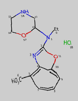 CCN(c1nc2c(C(=O)O)cccc2o1)C1CNCCO1.Cl